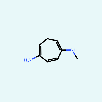 CNC1=CCC=C(N)C=C1